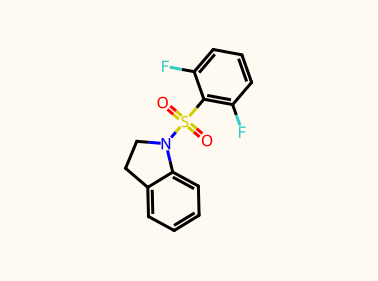 O=S(=O)(c1c(F)cccc1F)N1CCc2ccccc21